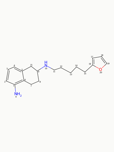 Nc1cccc2c1CCC(NCCCCCc1ccco1)C2